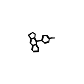 Brc1ccc(-c2c3c(cc4ccccc24)CCC3)cc1